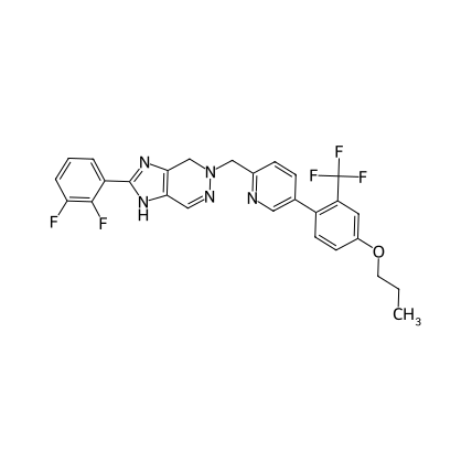 CCCOc1ccc(-c2ccc(CN3Cc4nc(-c5cccc(F)c5F)[nH]c4C=N3)nc2)c(C(F)(F)F)c1